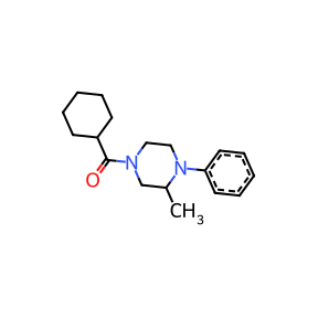 CC1CN(C(=O)C2CCCCC2)CCN1c1ccccc1